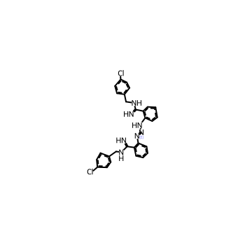 N=C(NCc1ccc(Cl)cc1)c1ccccc1/N=N/Nc1ccccc1C(=N)NCc1ccc(Cl)cc1